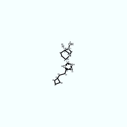 ON1CN2C[C@H]1CC[C@H]2c1nnc(CCC2CCC2)o1